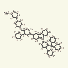 N#Cc1cccc(-c2ccc(-n3c4ccccc4c4cc(-c5ccc6c(c5)c5ccccc5n6-c5ccc6c(c5)C(c5ccccc5)(c5ccccc5)c5ccccc5-6)ccc43)cc2)c1